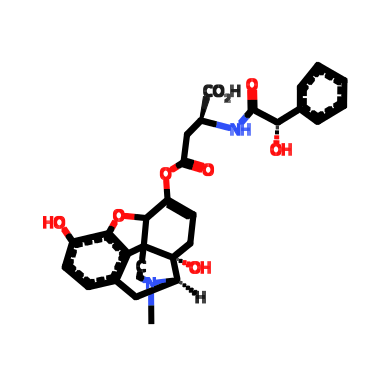 CN1CCC23c4c5ccc(O)c4OC2C(OC(=O)C[C@H](NC(=O)[C@@H](O)c2ccccc2)C(=O)O)=CC[C@@]3(O)[C@H]1C5